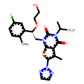 COc1ccc(F)cc1[C@@H](Cn1c(=O)n(C(C)C(=O)O)c(=O)c2c(C)c(-n3nccn3)sc21)OCCO